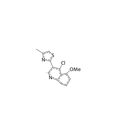 COc1cccc2n[c]c(-c3nc(C)cs3)c(Cl)c12